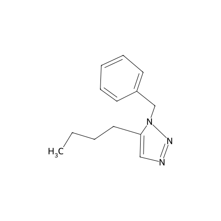 CCCCc1cnnn1Cc1ccccc1